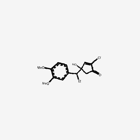 CCC(c1ccc(OC)c(OC)c1)C1(O)C=C(Cl)C(=O)C1